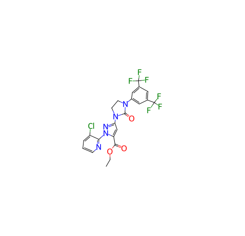 CCOC(=O)c1cc(N2CCN(c3cc(C(F)(F)F)cc(C(F)(F)F)c3)C2=O)nn1-c1ncccc1Cl